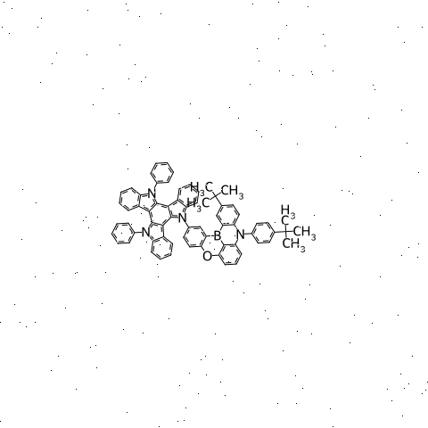 CC(C)(C)c1ccc(N2c3ccc(C(C)(C)C)cc3B3c4cc(-n5c6ccccc6c6c7c(c8ccccc8n7-c7ccccc7)c7c(c8ccccc8n7-c7ccccc7)c65)ccc4Oc4cccc2c43)cc1